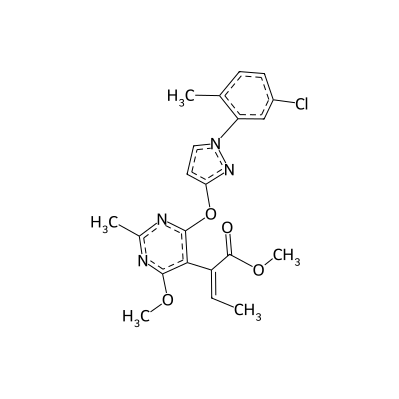 CC=C(C(=O)OC)c1c(OC)nc(C)nc1Oc1ccn(-c2cc(Cl)ccc2C)n1